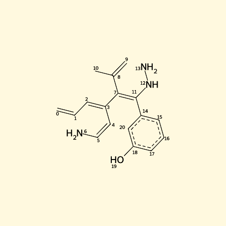 C=C/C=C(\C=C/N)C(/C(=C)C)=C(/NN)c1cccc(O)c1